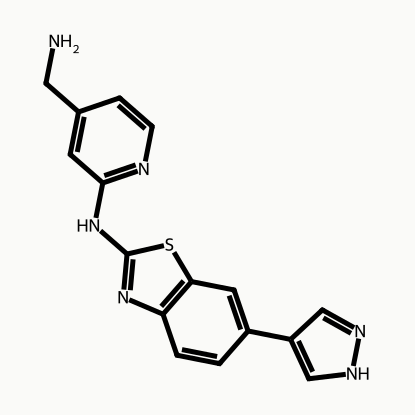 NCc1ccnc(Nc2nc3ccc(-c4cn[nH]c4)cc3s2)c1